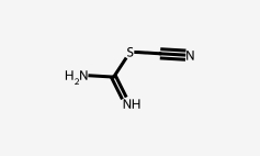 N#CSC(=N)N